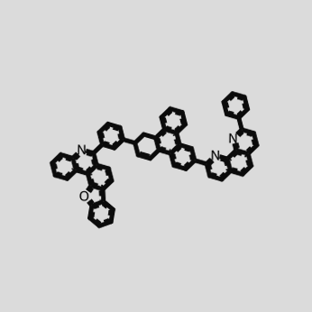 C1=CC(c2cccc(-c3nc4ccccc4c4c3ccc3c5ccccc5oc34)c2)Cc2c1c1ccc(-c3ccc4ccc5ccc(-c6ccccc6)nc5c4n3)cc1c1ccccc21